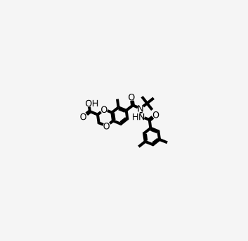 Cc1cc(C)cc(C(=O)NN(C(=O)c2ccc3c(c2C)OC(C(=O)O)CO3)C(C)(C)C)c1